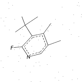 Cc1cnc(F)c(C(C)(C)C)c1C